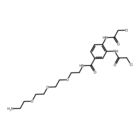 NCCOCCOCCOCCNC(=O)c1ccc(NC(=O)CCl)c(NC(=O)CCl)c1